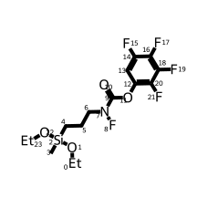 CCO[Si](C)(CCCN(F)C(=O)Oc1cc(F)c(F)c(F)c1F)OCC